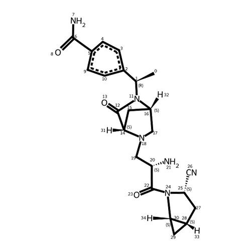 C[C@H](c1ccc(C(N)=O)cc1)N1C(=O)[C@@H]2C[C@H]1CN2C[C@H](N)C(=O)N1[C@H](C#N)C[C@@H]2C[C@@H]21